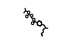 C=CCCC(C)Cc1ccc(C(=O)OCOC(=O)OC(C)C)cc1